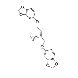 C/C(=C\COc1ccc2c(c1)OCO2)COc1ccc2c(c1)OCO2